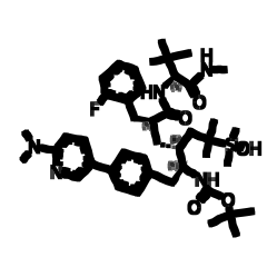 CNC(=O)[C@@H](NC(=O)[C@H](Cc1ccccc1F)C[C@H](CC(C)(C)[Si](C)(C)O)[C@H](Cc1ccc(-c2ccc(N(C)C)nc2)cc1)NC(=O)OC(C)(C)C)C(C)(C)C